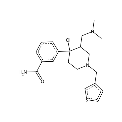 CN(C)CC1CN(Cc2ccsc2)CCC1(O)c1cccc(C(N)=O)c1